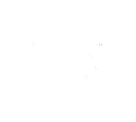 CC(=O)C1Cc2ccccc2-c2nnn(C)c2-c2ccccc21